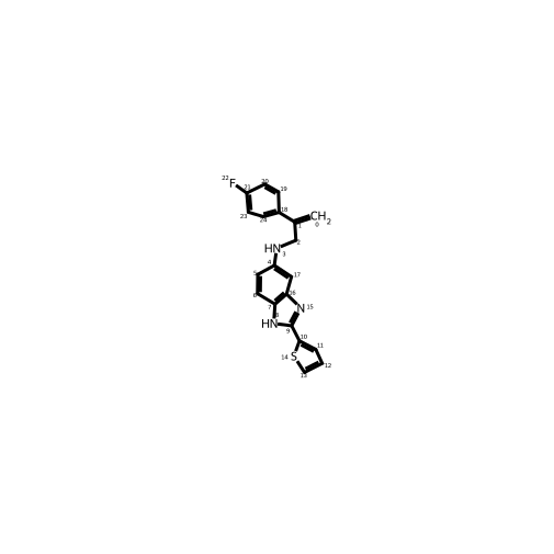 C=C(CNc1ccc2[nH]c(-c3cccs3)nc2c1)c1ccc(F)cc1